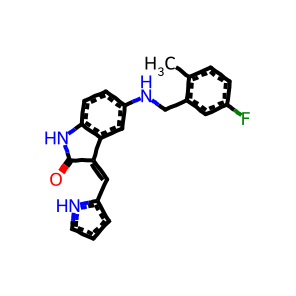 Cc1ccc(F)cc1CNc1ccc2c(c1)/C(=C/c1ccc[nH]1)C(=O)N2